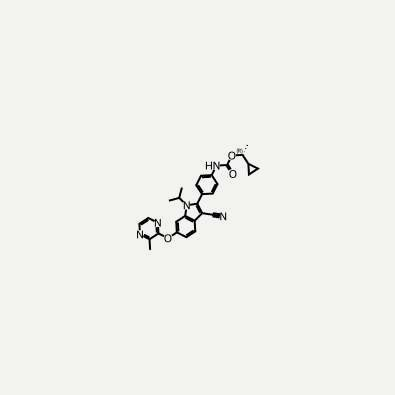 Cc1nccnc1Oc1ccc2c(C#N)c(-c3ccc(NC(=O)O[C@H](C)C4CC4)cc3)n(C(C)C)c2c1